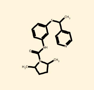 CC(Sc1cccc(NC(=O)N2C(C)CCC2C)c1)c1ccncc1